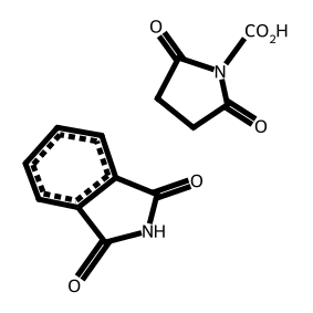 O=C(O)N1C(=O)CCC1=O.O=C1NC(=O)c2ccccc21